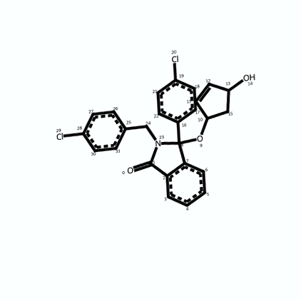 O=C1c2ccccc2C(OC2C=CC(O)C2)(c2ccc(Cl)cc2)N1Cc1ccc(Cl)cc1